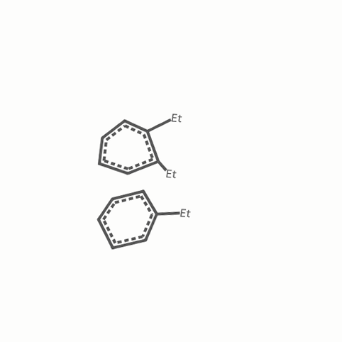 CCc1ccccc1.CCc1ccccc1CC